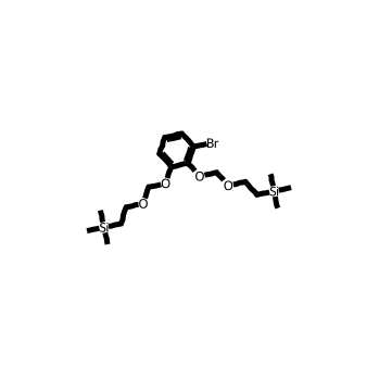 C[Si](C)(C)CCOCOc1cccc(Br)c1OCOCC[Si](C)(C)C